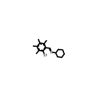 CCc1c(C)c(C)c(C)c(C)c1/C=N/C1CCCCC1